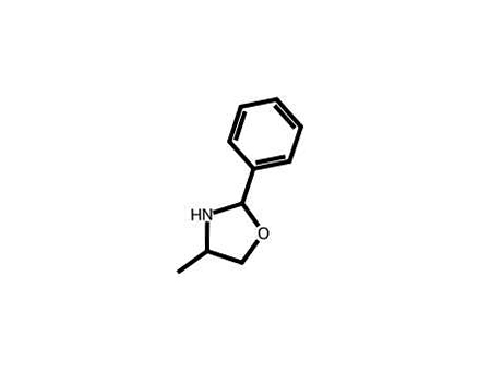 CC1COC(c2ccccc2)N1